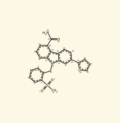 CS(=O)(=O)c1ccccc1Cn1c2cc(-c3ccco3)c[c]c2c2c(C(N)=O)cccc21